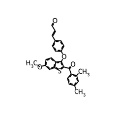 COc1ccc2c(Oc3ccc(/C=C/C=O)cc3)c(C(=O)c3ccc(C)cc3C)sc2c1